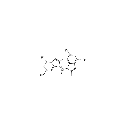 CC1=Cc2c(C(C)C)cc(C(C)C)cc2C1[SiH](C)C1C(C)=Cc2c(C(C)C)cc(C(C)C)cc21